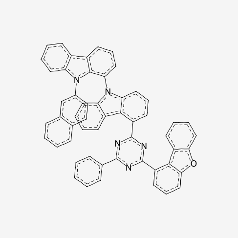 c1ccc(-c2nc(-c3cccc4oc5ccccc5c34)nc(-c3cccc4c3c3ccccc3n4-c3cccc4c5ccccc5n(-c5ccc6ccccc6c5)c34)n2)cc1